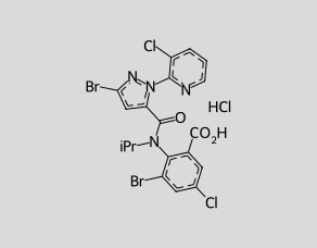 CC(C)N(C(=O)c1cc(Br)nn1-c1ncccc1Cl)c1c(Br)cc(Cl)cc1C(=O)O.Cl